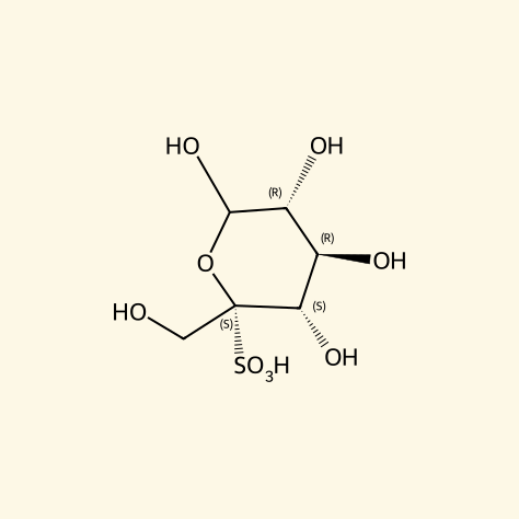 O=S(=O)(O)[C@]1(CO)OC(O)[C@H](O)[C@@H](O)[C@@H]1O